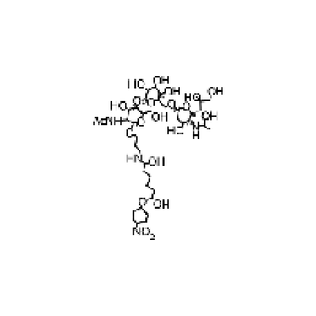 CC(=O)NC1C(O)[C@H](O[C@@H]2OC(CO[C@@H]3CC(O)[C@@H](NC(C)O)[C@@H](CC(O)CO)O3)[C@H](O)C(O)C2O)C(CO)O[C@H]1OCCCNC(O)CCCCC(O)OC1CCC([N+](=O)[O-])CC1